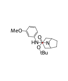 COc1cccc(NC2CC3CCC(C2)N3C(=O)OC(C)(C)C)c1